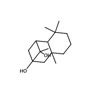 CC1(C)CCCC2(C)CC3(O)CC(C12)C3(C)O